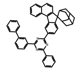 c1ccc(-c2cccc(-c3nc(-c4ccccc4)nc(-c4ccc5c(c4)-c4c(ccc6ccccc46)C54C5CC6CC(C5)CC4C6)n3)c2)cc1